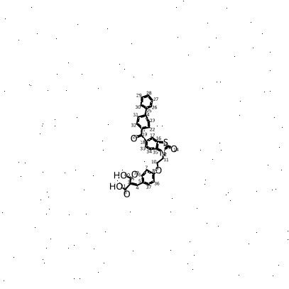 O=C(O)C(=Cc1ccc(OCCn2c(=O)sc3cc(C(=O)c4ccc(-c5ccccc5)cc4)ccc32)cc1)C(=O)O